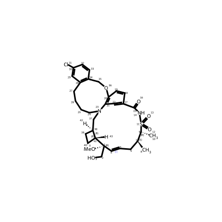 CO[C@@]1(CO)/C=C/C[C@H](C)[C@@H](C)S(=O)(=O)NC(=O)c2ccc3c(c2)N(CCCCc2cc(Cl)ccc2CO3)C[C@@H]2CC[C@H]21